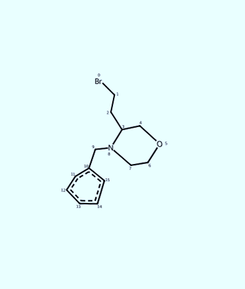 BrCCC1COCCN1Cc1ccccc1